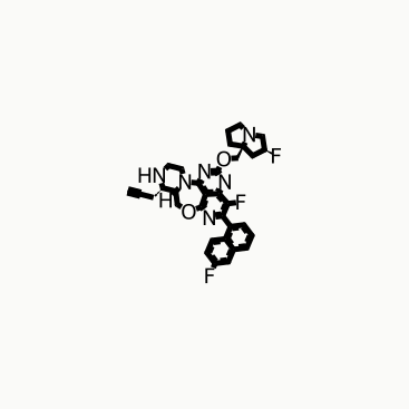 C#CC[C@@H]1NCCN2c3nc(OC[C@@]45CCCN4C[C@H](F)C5)nc4c(F)c(-c5cccc6cc(F)ccc56)nc(c34)OC[C@H]12